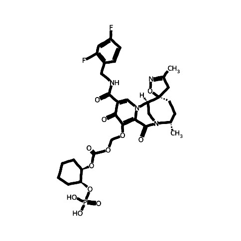 CC1=NO[C@@]2(CC[C@H](C)N3C[C@H]2n2cc(C(=O)NCc4ccc(F)cc4F)c(=O)c(OCOC(=O)O[C@@H]4CCCC[C@@H]4OP(=O)(O)O)c2C3=O)C1